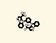 O=C(O)c1cnn2c3ccccc3n(-c3cccc(-n4c5ccccc5n5ncc(C(=O)O)c45)c3)c12